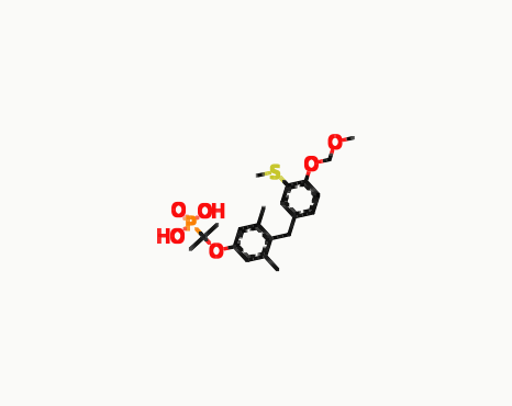 COCOc1ccc(Cc2c(C)cc(OC(C)(C)P(=O)(O)O)cc2C)cc1SC